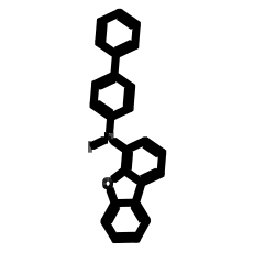 IN(c1ccc(-c2ccccc2)cc1)c1cccc2c1oc1ccccc12